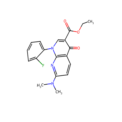 CCOC(=O)c1cn(-c2ccccc2F)c2nc(N(C)C)ccc2c1=O